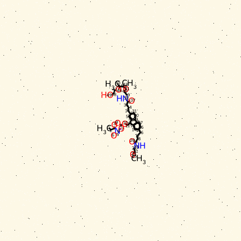 CCC(=O)N(C=O)OC(=O)OCC1c2cc(CCCC(=O)NCCOC)ccc2-c2ccc(CCCC(=O)NCCOC(C)C(C)OCCO)cc21